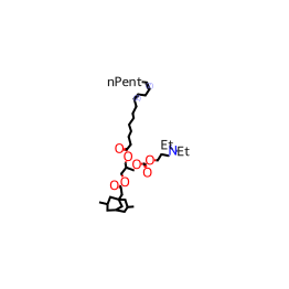 CCCCC/C=C\C/C=C\CCCCCCCC(=O)OCC(COC(=O)CC12CC(C)CC(CC(C)C1)C2)COC(=O)OCCCN(CC)CC